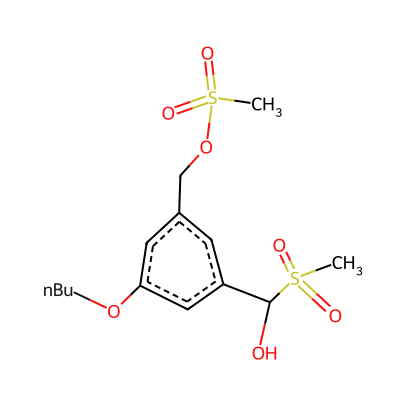 CCCCOc1cc(COS(C)(=O)=O)cc(C(O)S(C)(=O)=O)c1